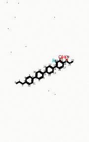 CCCc1ccc(-c2ccc(-c3ccc(-c4ccc(C(=O)CC)c(O)c4F)cc3)cc2)cc1